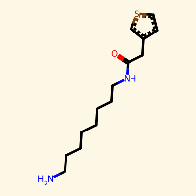 NCCCCCCCCNC(=O)Cc1ccsc1